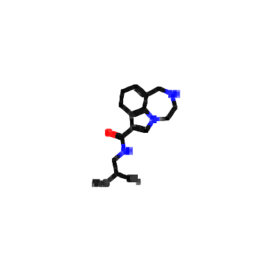 COC(C)CNC(=O)c1cn2c3c1CCC=C3CNCC2